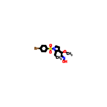 C\C=c1/c(=C(\C=N\O)OC)ccn1S(=O)(=O)c1ccc(Br)cc1